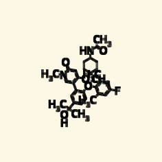 CC(=O)NC1CCC(C)(Oc2cc(=O)n(C)cc2-c2cc(C(C)(C)O)ccc2Oc2c(C)cc(F)cc2C)CC1